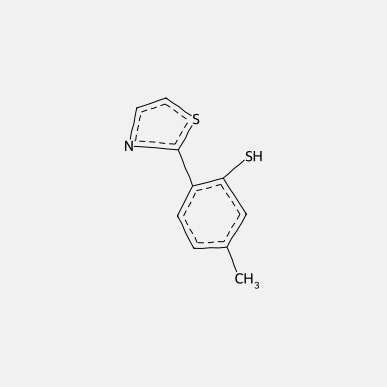 Cc1ccc(-c2nccs2)c(S)c1